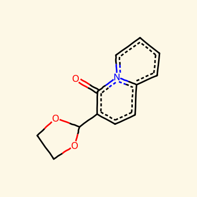 O=c1c(C2OCCO2)ccc2ccccn12